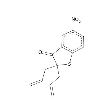 C=CCC1(CC=C)Sc2ccc([N+](=O)[O-])cc2C1=O